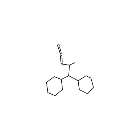 CC(N=C=O)C(C1CCCCC1)C1CCCCC1